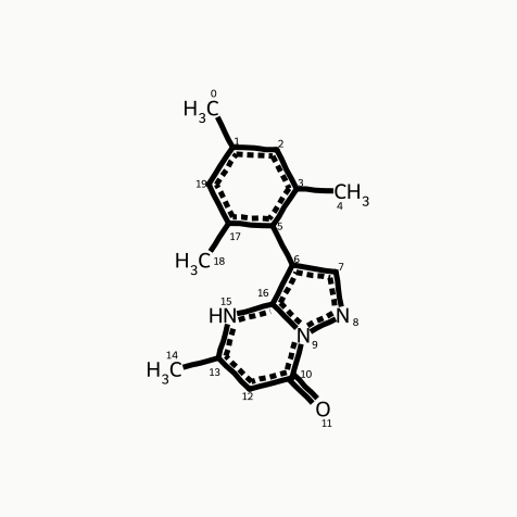 Cc1cc(C)c(-c2cnn3c(=O)cc(C)[nH]c23)c(C)c1